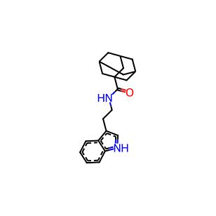 O=C(NCCc1c[nH]c2ccccc12)C12CC3CC(CC(C3)C1)C2